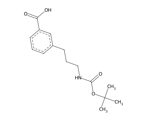 CC(C)(C)OC(=O)NCCCc1cccc(C(=O)O)c1